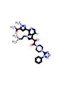 CN(C)CCn1cc(C(=O)C(=O)N2CCN(c3nnnn3-c3ccccc3)CC2)c2c(F)cnc(-c3cc(C(N)=O)n(C)n3)c21